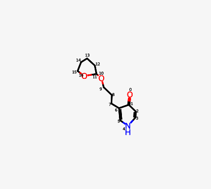 O=c1cc[nH]cc1CCCOC1CCCCO1